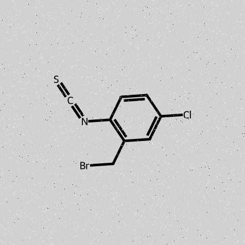 S=C=Nc1ccc(Cl)cc1CBr